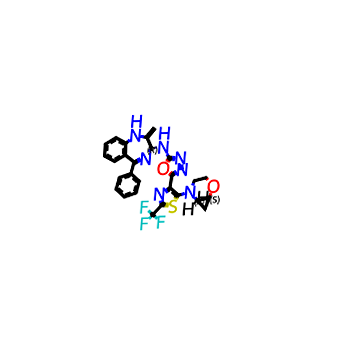 C=C1Nc2ccccc2C(c2ccccc2)=N[C@H]1Nc1nnc(-c2nc(C(F)(F)F)sc2N2CCO[C@H]3C[C@H]32)o1